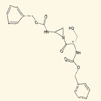 O=C(NC1CN1C(=O)[C@H](CO)NC(=O)OCc1ccccc1)OCc1ccccc1